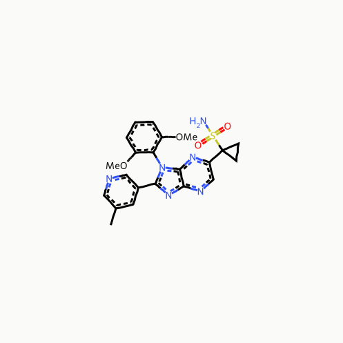 COc1cccc(OC)c1-n1c(-c2cncc(C)c2)nc2ncc(C3(S(N)(=O)=O)CC3)nc21